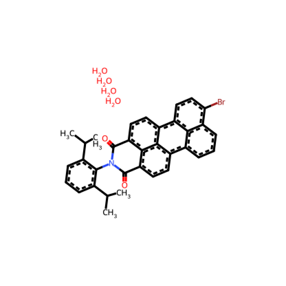 CC(C)c1cccc(C(C)C)c1N1C(=O)c2ccc3c4cccc5c(Br)ccc(c6ccc(c2c36)C1=O)c54.O.O.O.O